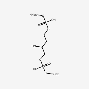 CCCCCCOP(=O)(O)OCCC(O)COP(=O)(O)OCCCCCC